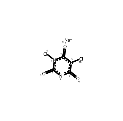 O=c1[n-]c(=O)n(Cl)c(=O)n1Cl.[Na+]